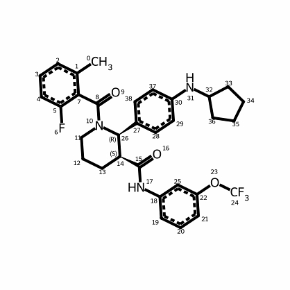 Cc1cccc(F)c1C(=O)N1CCC[C@H](C(=O)Nc2cccc(OC(F)(F)F)c2)[C@@H]1c1ccc(NC2CCCC2)cc1